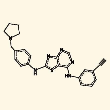 C#Cc1cccc(Nc2ncnc3nc(Nc4ccc(CN5CCCC5)cc4)sc23)c1